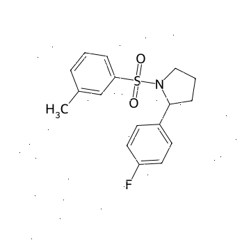 Cc1cccc(S(=O)(=O)N2CCCC2c2ccc(F)cc2)c1